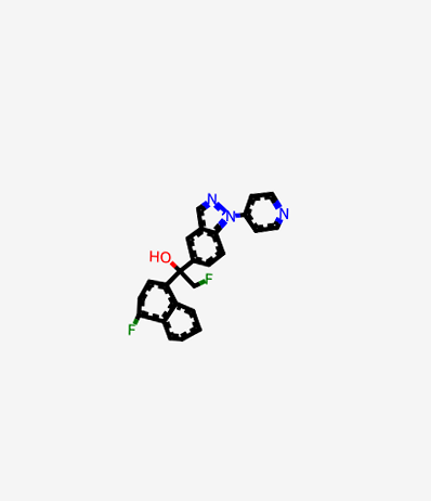 OC(CF)(c1ccc2c(cnn2-c2ccncc2)c1)c1ccc(F)c2ccccc12